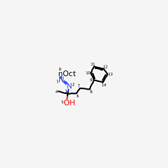 CCCCCCCCN=NC(C)(O)CCCc1ccccc1